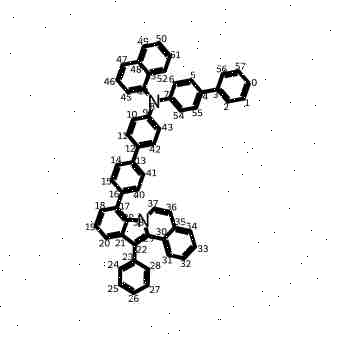 c1ccc(-c2ccc(N(c3ccc(-c4ccc(-c5cccc6c(-c7ccccc7)c7c8ccccc8ccn7c56)cc4)cc3)c3cccc4ccccc34)cc2)cc1